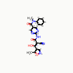 Cc1oncc1/C(O)=C(\C#N)C(=O)Nc1ncc(C(=O)N(C)c2ccccc2)cn1